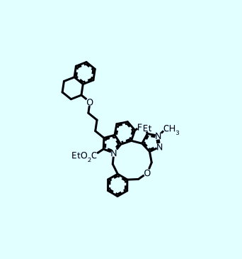 CCOC(=O)c1c(CCCOC2CCCc3ccccc32)c2ccc(F)c3c2n1Cc1ccccc1COCc1nn(C)c(CC)c1-3